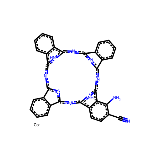 N#Cc1ccc2c3nc4nc(nc5[nH]c(nc6nc(nc([nH]3)c2c1N)-c1ccccc1-6)c1ccccc51)-c1ccccc1-4.[Co]